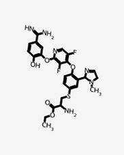 CCOC(=O)C(N)CSc1ccc(Oc2c(F)cnc(Oc3cc(C(=N)N)ccc3O)c2F)c(C2N=CCN2C)c1